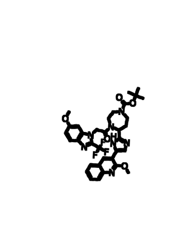 COc1ccc2nc(C(F)(F)F)n(CC(=O)N3CCN(C(=O)OC(C)(C)C)CCC3c3ncc(-c4cc5ccccc5nc4OC)[nH]3)c2c1